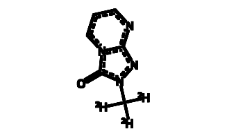 [2H]C([2H])([2H])n1nc2ncccn2c1=O